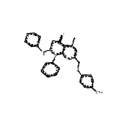 COc1ccc(OCc2cc(C)c3c(=O)cc(Nc4ccccc4)n(-c4ccccc4)c3n2)cc1